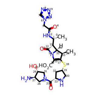 C[C@@H](NC(=O)Cn1cnnn1)[C@H]1C(=O)N2C(C(=O)O)=C(S[C@@H]3CN[C@H](C(=O)N4C[C@@H](N)[C@H](O)C4)C3)[C@H](C)[C@H]12